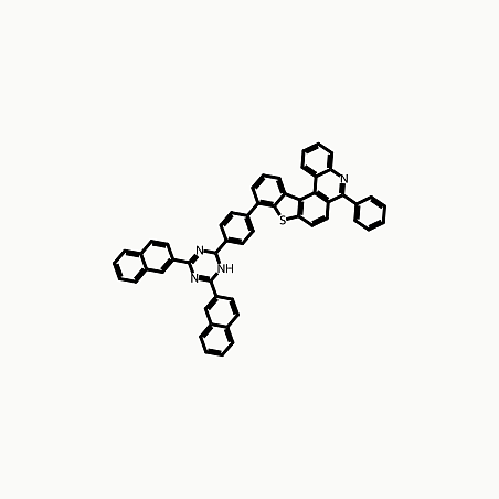 c1ccc(-c2nc3ccccc3c3c2ccc2sc4c(-c5ccc(C6N=C(c7ccc8ccccc8c7)N=C(c7ccc8ccccc8c7)N6)cc5)cccc4c23)cc1